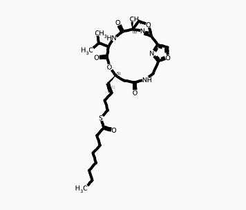 CCCCCCCC(=O)SCC/C=C/[C@@H]1CC(=O)NCc2nc(co2)C2=N[C@@](C)(CO2)C(=O)NC(C(C)C)C(=O)O1